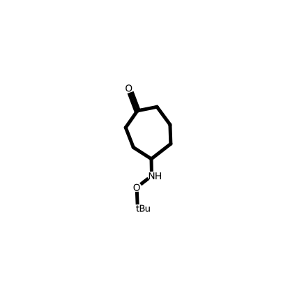 CC(C)(C)ONC1CCCC(=O)CC1